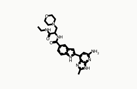 CCNC(=O)C(CN1CCOCC1)NC(=O)c1ccc2[nH]c(-c3cc(N)nc4[nH]c(C)nc34)cc2c1